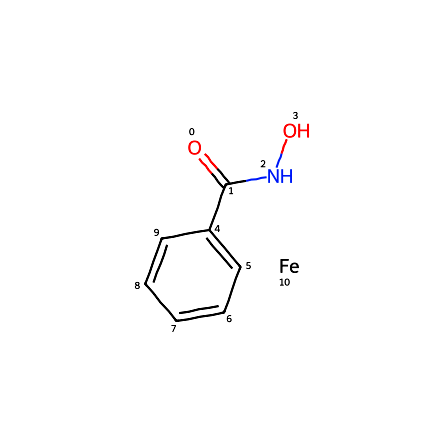 O=C(NO)c1ccccc1.[Fe]